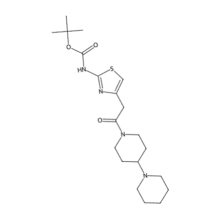 CC(C)(C)OC(=O)Nc1nc(CC(=O)N2CCC(N3CCCCC3)CC2)cs1